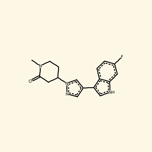 CN1CCC(n2cc(-c3c[nH]c4cc(F)ccc34)cn2)CC1=O